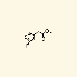 COC(=O)Cc1csc(F)c1